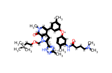 Cc1cc(Oc2ccc(C)c(NC(=O)CCCN(C)C)c2)cc(-c2cn(C)c(=O)c3c2cc(-c2nc(C)n[nH]2)n3COCC[Si](C)(C)C)c1